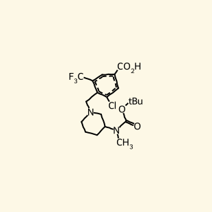 CN(C(=O)OC(C)(C)C)C1CCCN(Cc2c(Cl)cc(C(=O)O)cc2C(F)(F)F)C1